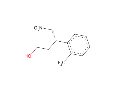 O=[N+]([O-])C[C@@H](CCO)c1ccccc1C(F)(F)F